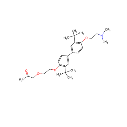 CC(=O)COCCOc1ccc(-c2ccc(OCCN(C)C)c(C(C)(C)C)c2)cc1C(C)(C)C